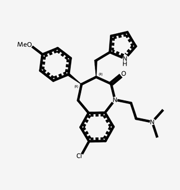 COc1ccc([C@@H]2Cc3cc(Cl)ccc3N(CCN(C)C)C(=O)[C@@H]2Cc2ccc[nH]2)cc1